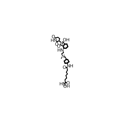 CN(CCNc1cccc2c1C(=O)N(C1CCC(=O)NC1=O)C2O)Cc1ccc(NC(=O)CCCCCCC(=O)NO)cc1